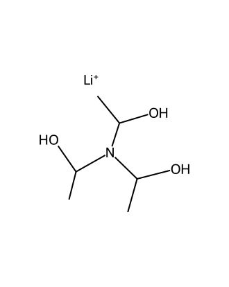 CC(O)N(C(C)O)C(C)O.[Li+]